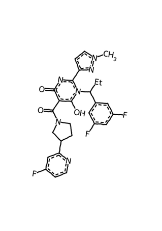 CCC(c1cc(F)cc(F)c1)n1c(-c2ccn(C)n2)nc(=O)c(C(=O)N2CCC(c3cc(F)ccn3)C2)c1O